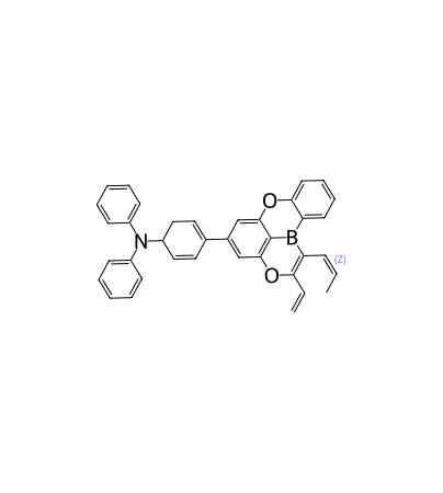 C=CC1=C(/C=C\C)B2c3ccccc3Oc3cc(C4=CCC(N(c5ccccc5)c5ccccc5)C=C4)cc(c32)O1